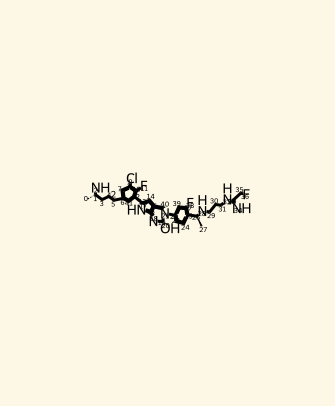 C[C@H](N)CCCc1cc(Cl)c(F)c(-c2cc3c([nH]2)=NC(O)N(c2ccc([C@H](C)NCCCNC(=N)CF)c(F)c2)C=3)c1